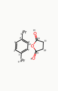 CC(C)c1ccc(C(C)C)cc1.O=C1CCC(=O)O1